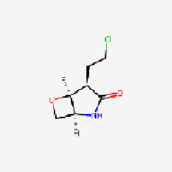 C[C@@]12OC[C@@H]1NC(=O)[C@@H]2CCCl